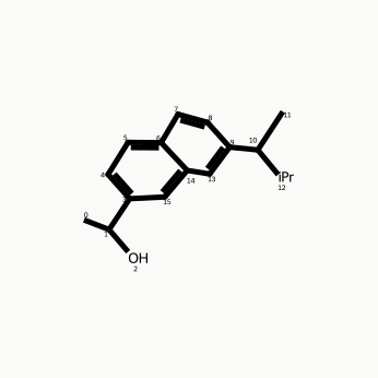 CC(O)c1ccc2ccc(C(C)C(C)C)cc2c1